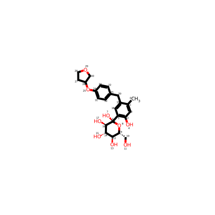 Cc1cc(O)c([C@]2(O)O[C@H](CO)[C@@H](O)[C@H](O)[C@H]2O)cc1Cc1ccc(OC2CCOC2)cc1